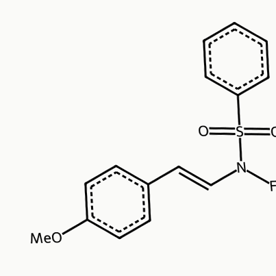 COc1ccc(C=CN(F)S(=O)(=O)c2ccccc2)cc1